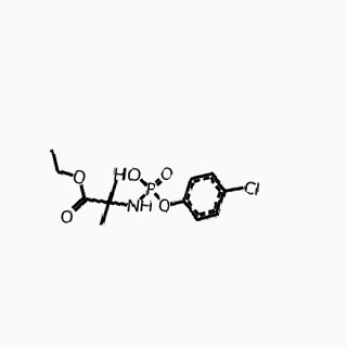 CCOC(=O)C(C)(C)NP(=O)(O)Oc1ccc(Cl)cc1